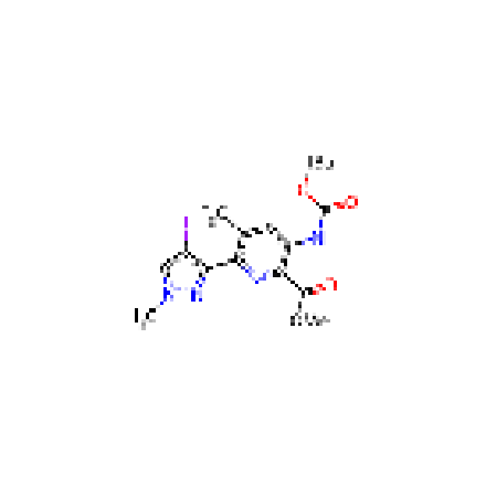 COC(=O)c1nc(-c2nn(C)cc2I)c(C(F)(F)F)cc1NC(=O)OC(C)(C)C